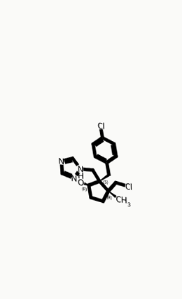 C[C@@]1(CCl)CC[C@@H](O)[C@]1(Cc1ccc(Cl)cc1)Cn1cncn1